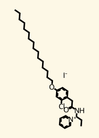 CCCCCCCCCCCCCCCCOc1ccc(CC(=O)NC(CC)[n+]2ccccc2)c(Cl)c1.[I-]